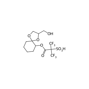 O=C(OC1CCCCC12OCC(CO)O2)C(C(F)(F)F)(C(F)(F)F)S(=O)(=O)O